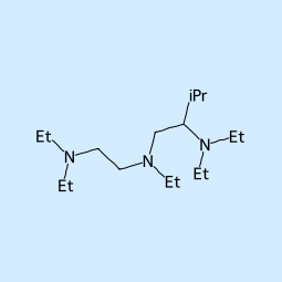 CCN(CC)CCN(CC)CC(C(C)C)N(CC)CC